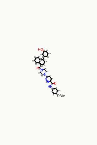 COc1ccc(NC(=O)c2ccc(N3CCN(C(=O)c4ccc(-c5cccc(O)c5)c5ccccc45)CC3)nn2)cc1